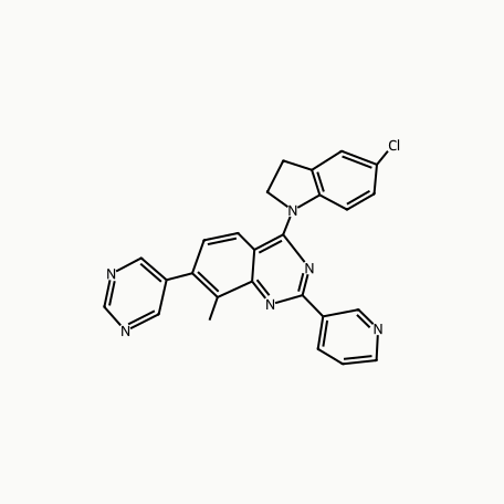 Cc1c(-c2cncnc2)ccc2c(N3CCc4cc(Cl)ccc43)nc(-c3cccnc3)nc12